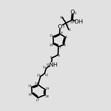 CC(C)(Oc1ccc(CCNCCCc2ccccc2)cc1)C(=O)O